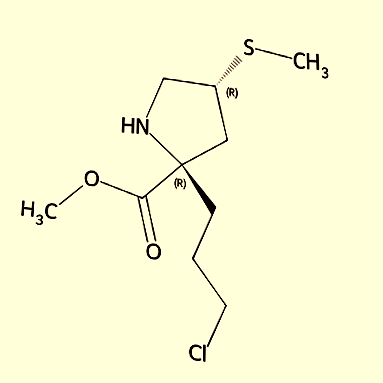 COC(=O)[C@@]1(CCCCl)C[C@@H](SC)CN1